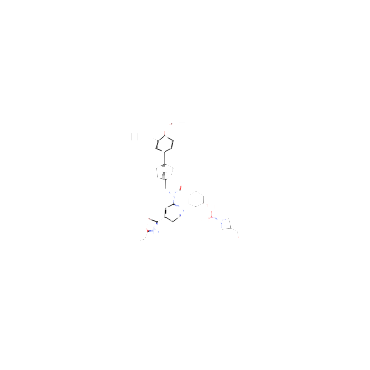 CCc1nc(-c2ccnc(N(CC34CCC(c5ccc(OC)c(C)c5)(CC3)CC4)C(=O)[C@H]3CC[C@H](OC(=O)N4CC(CO)C4)CC3)c2)co1